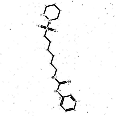 N=C(NCCCCCCS(=O)(=O)N1CCCCO1)Nc1cccnc1